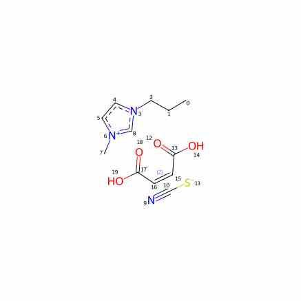 CCCn1cc[n+](C)c1.N#C[S-].O=C(O)/C=C\C(=O)O